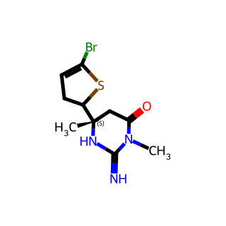 CN1C(=N)N[C@](C)(C2CC=C(Br)S2)CC1=O